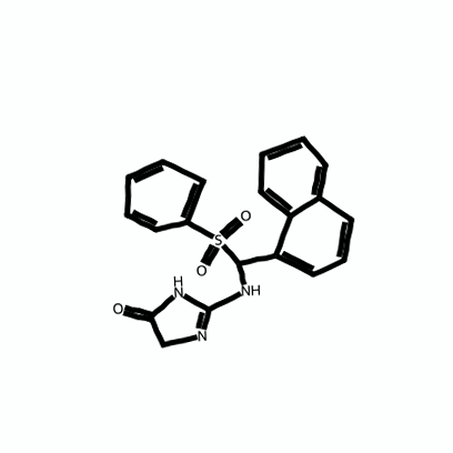 O=C1CN=C(NC(c2cccc3ccccc23)S(=O)(=O)c2ccccc2)N1